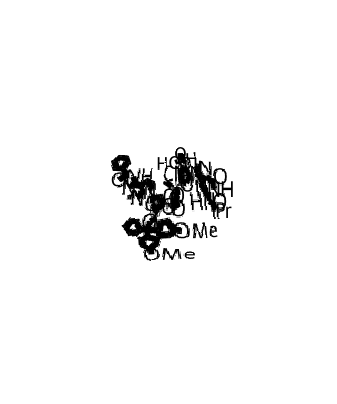 COc1ccc(C(OC[C@H]2O[C@@H](n3ccc4c(NC(=O)c5ccccc5)ncnc43)C[C@@H]2OP(=O)(OCCC#N)OC[C@@H]2C[C@@H](O[PH](=O)O)[C@H](n3cnc4c(=O)[nH]c(NC(=O)C(C)C)nc43)O2)(c2ccccc2)c2ccc(OC)cc2)cc1